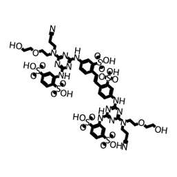 N#CCCN(CCOCCO)c1nc(Nc2ccc(C=Cc3ccc(Nc4nc(Nc5cc(S(=O)(=O)O)ccc5S(=O)(=O)O)nc(N(CCC#N)CCOCCO)n4)cc3S(=O)(=O)O)c(S(=O)(=O)O)c2)nc(Nc2cc(S(=O)(=O)O)ccc2S(=O)(=O)O)n1